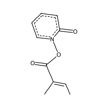 CC=C(C)C(=O)On1ccccc1=O